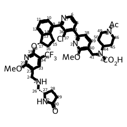 COc1nc(-c2ccnc(-c3cccc4c3CC[C@@H]4Oc3nc(OC)c(CNC[C@@H]4CCC(=O)N4)cc3C(F)(F)F)c2Cl)ccc1CN(C(=O)O)C1CCN(C(C)=O)CC1